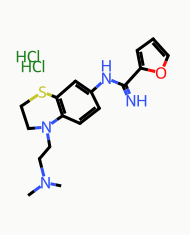 CN(C)CCN1CCSc2cc(NC(=N)c3ccco3)ccc21.Cl.Cl